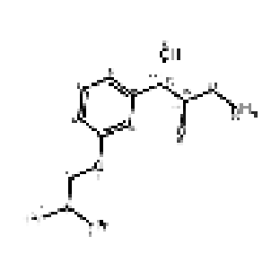 CCCC(CCC)COc1cccc([C@H](O)[C@H](O)CN)c1